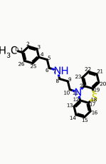 Cc1ccc(CCNCCCN2c3ccccc3Sc3ccccc32)cc1